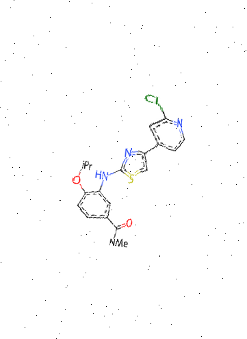 CNC(=O)c1ccc(OC(C)C)c(Nc2nc(-c3ccnc(Cl)c3)cs2)c1